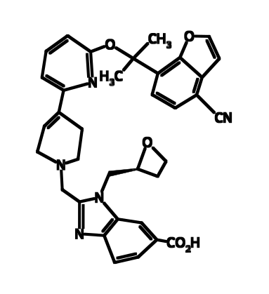 CC(C)(Oc1cccc(C2=CCN(Cc3nc4ccc(C(=O)O)cc4n3C[C@@H]3CCO3)CC2)n1)c1ccc(C#N)c2ccoc12